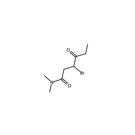 CCC(=O)C(Br)CC(=O)N(C)C